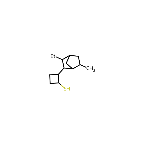 CCC1C2CC(C)C(C2)C1C1CCC1S